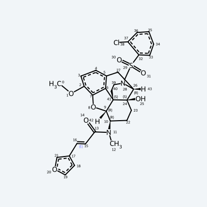 COc1ccc2c3c1O[C@H]1[C@H](N(C)C(=O)/C=C/c4ccoc4)CC[C@@]4(O)[C@@H](C2)N(S(=O)(=O)c2ccccc2Cl)CC[C@]314